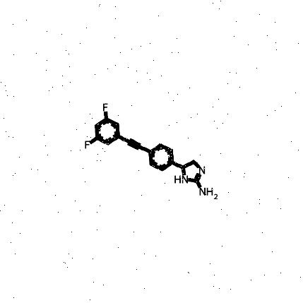 NC1=NCC(c2ccc(C#Cc3cc(F)cc(F)c3)cc2)N1